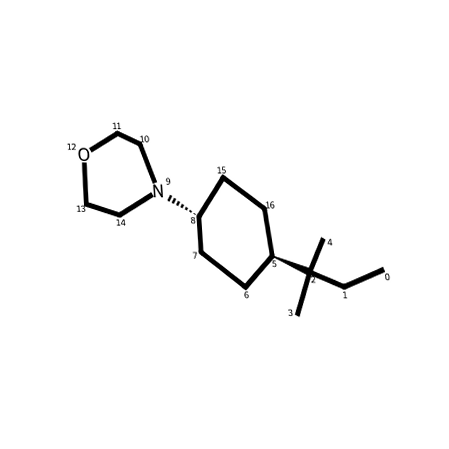 CCC(C)(C)[C@H]1CC[C@H](N2CCOCC2)CC1